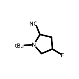 CC(C)(C)N1CC(F)CC1C#N